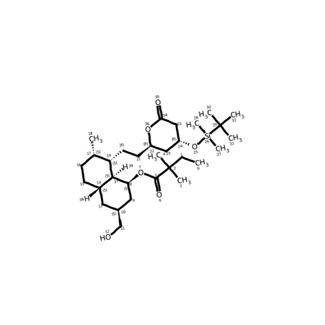 CCC(C)(C)C(=O)O[C@H]1C[C@@H](CO)C[C@@H]2CC[C@H](C)[C@H](CC[C@@H]3C[C@@H](O[Si](C)(C)C(C)(C)C)CC(=O)O3)[C@H]21